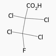 O=C(O)C(Cl)(Cl)C(F)(Cl)Cl